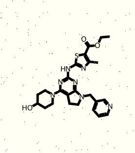 CCOC(=O)c1sc(Nc2nc(N3CCC(O)CC3)c3c(n2)N(Cc2cccnc2)CC3)nc1C